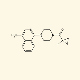 CC1(C(=O)N2CCN(c3ncc(N)c4ccccc34)CC2)CC1